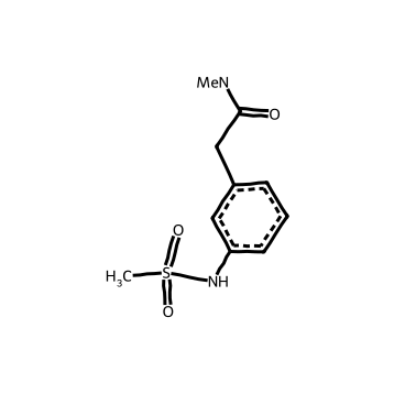 CNC(=O)Cc1cccc(NS(C)(=O)=O)c1